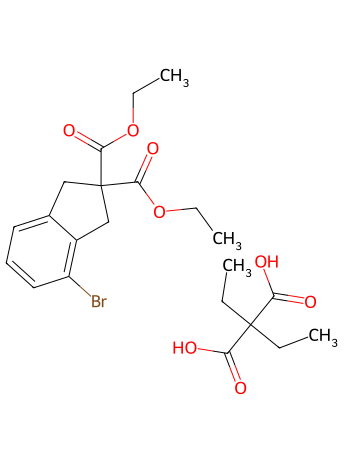 CCC(CC)(C(=O)O)C(=O)O.CCOC(=O)C1(C(=O)OCC)Cc2cccc(Br)c2C1